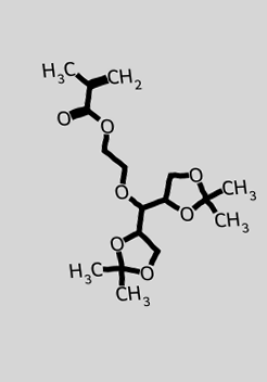 C=C(C)C(=O)OCCOC(C1COC(C)(C)O1)C1COC(C)(C)O1